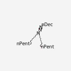 CCCCC/C=C\C/C=C\CCCCCCCCN(CCCCCCCC/C=C\C/C=C\CCCCC)CCN1CCN(CCCCCCCCCCCC)CC1